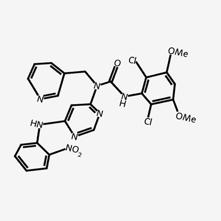 COc1cc(OC)c(Cl)c(NC(=O)N(Cc2cccnc2)c2cc(Nc3ccccc3[N+](=O)[O-])ncn2)c1Cl